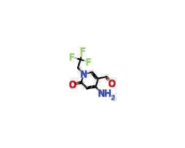 Nc1cc(=O)n(CC(F)(F)F)cc1C=O